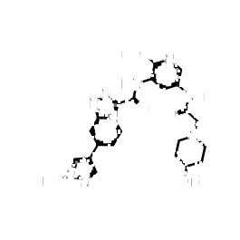 Cc1ncc(NC(=O)CN2CCC(O)CC2)cc1NC(=O)c1nnc2cc(-c3cnn(C)c3)ccn12